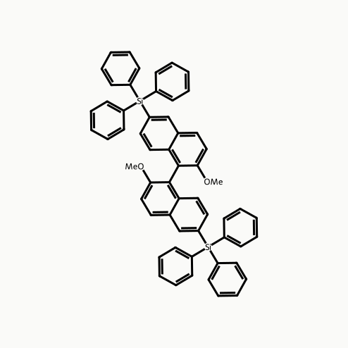 COc1ccc2cc([Si](c3ccccc3)(c3ccccc3)c3ccccc3)ccc2c1-c1c(OC)ccc2cc([Si](c3ccccc3)(c3ccccc3)c3ccccc3)ccc12